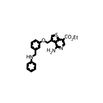 CCOC(=O)c1cnc(N)c2c(COc3cccc(CNc4ccccc4)c3)csc12